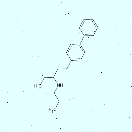 CCCNC(CC)CCc1ccc(-c2ccccc2)cc1